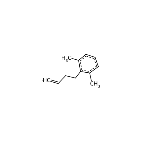 [CH]=CCCc1c(C)cccc1C